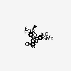 CSc1ccc(C(=O)OC(Cc2c(Cl)cncc2Cl)c2ccc(OC(F)F)c(OCC3CC3)c2)cc1[N+](=O)[O-]